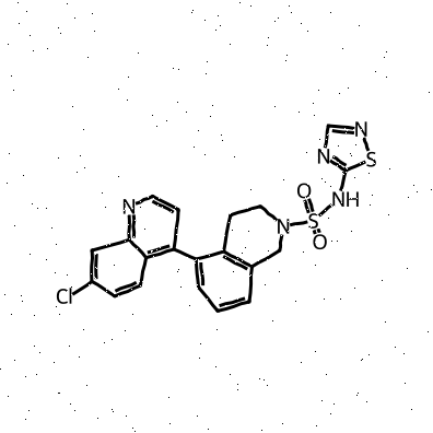 O=S(=O)(Nc1ncns1)N1CCc2c(cccc2-c2ccnc3cc(Cl)ccc23)C1